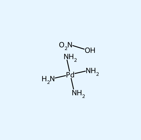 O=[N+]([O-])O.[NH2][Pd]([NH2])([NH2])[NH2]